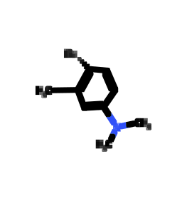 CC[C@@H](C)c1ccc(N(C)C)cc1C